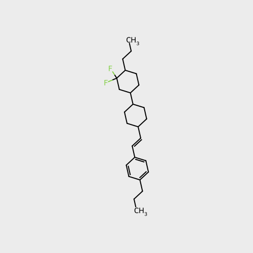 CCCc1ccc(/C=C/C2CCC(C3CCC(CCC)C(F)(F)C3)CC2)cc1